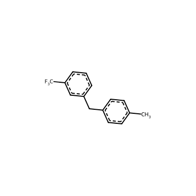 Cc1ccc(Cc2cccc(C(F)(F)F)c2)cc1